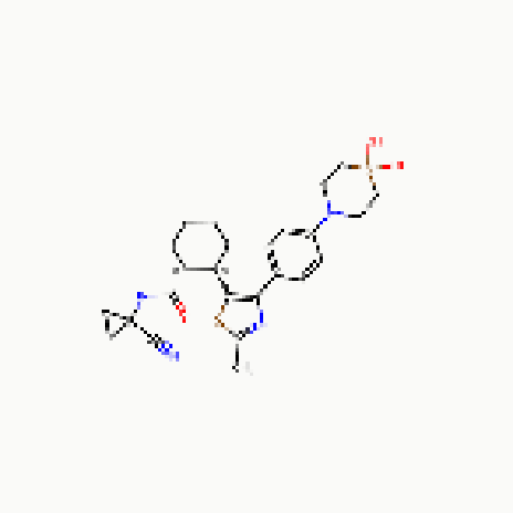 Cc1nc(-c2ccc(N3CCS(O)(O)CC3)cc2)c([C@@H]2CCCC[C@H]2C(=O)NC2(C#N)CC2)s1